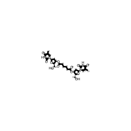 Cc1cn([C@H]2C[C@@H](OC(=O)CCCCC(=O)O[C@@H]3C[C@H](n4cc(C)c(=O)[nH]c4=O)O[C@@H]3CO)[C@@H](CO)O2)c(=O)[nH]c1=O